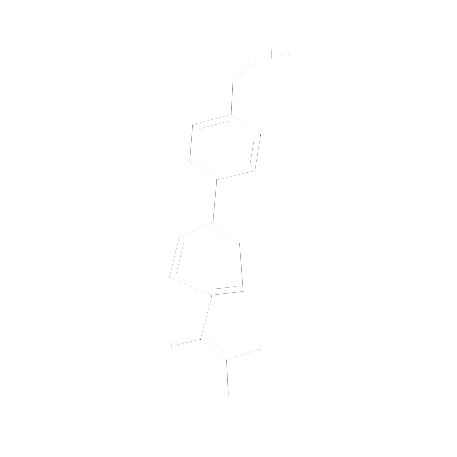 CCCCCCCCCCCc1ccc(-c2ccc(C(CC)=C(F)F)cc2)cc1